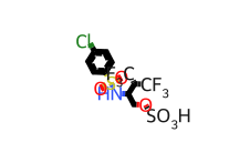 O=S(=O)(O)OCC(NS(=O)(=O)c1ccc(Cl)cc1)C(C(F)(F)F)C(F)(F)F